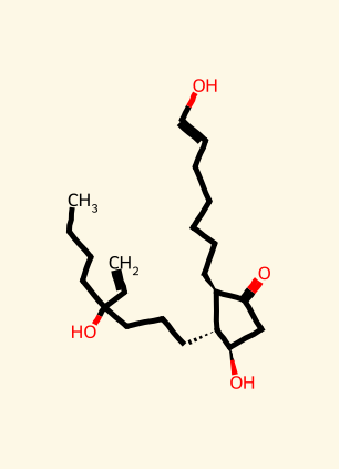 C=CC(O)(CCCC)CCC[C@H]1[C@H](O)CC(=O)[C@@H]1CCCCC/C=C/O